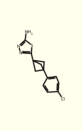 Nc1nnc(C23CC(c4ccc(Cl)cc4)(C2)C3)s1